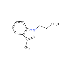 Cc1cn(CCC(=O)O)c2ccccc12